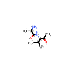 CC(=O)[C@@H](NC(=O)[C@H](C)N)C(C)C